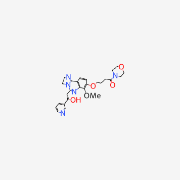 COc1c(OCCCC(=O)N2CCOCC2)ccc2c1N=C(/C=C(\O)c1cccnc1)N1CCN=C21